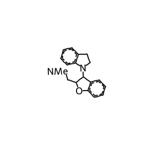 CNCC1Oc2ccccc2C1N1CCc2ccccc21